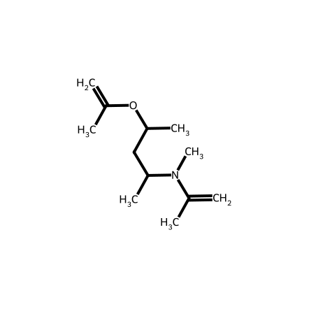 C=C(C)OC(C)CC(C)N(C)C(=C)C